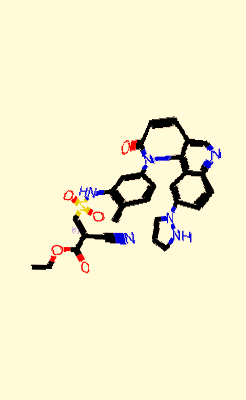 CCOC(=O)/C(C#N)=C/S(=O)(=O)Nc1cc(-n2c(=O)ccc3cnc4ccc(N5C=CCN5)cc4c32)ccc1C